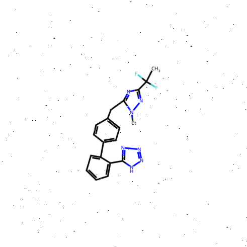 CCn1nc(C(C)(F)F)nc1Cc1ccc(-c2ccccc2-c2nnn[nH]2)cc1